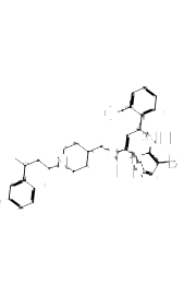 CC(CCN1CCC(CNC2=CC(c3ccccc3Cl)Nc3c(Br)cnn32)CC1)c1ccccc1